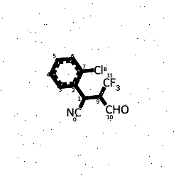 N#CC(c1ccccc1Cl)C(C=O)C(F)(F)F